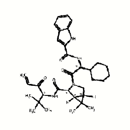 C=CC(=O)[C@@H](NC(=O)[C@@H]1[C@@H]2[C@H](CN1C(=O)[C@@H](NC(=O)c1cc3ccccc3[nH]1)C1CCCCC1)C2(C)C)C(C)(C)C